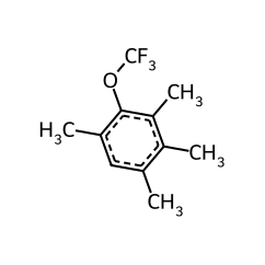 Cc1cc(C)c(OC(F)(F)F)c(C)c1C